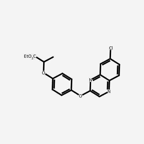 CCOC(=O)C(C)Oc1ccc(Oc2cnc3ccc(Cl)cc3n2)cc1